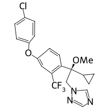 CO[C@@](Cn1cncn1)(c1ccc(Oc2ccc(Cl)cc2)cc1C(F)(F)F)C1CC1